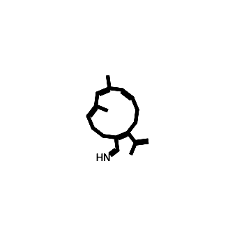 C=C(C)/C1=C(\C=N)CC/C=C(C)/C=C(C)\C=C/CC1